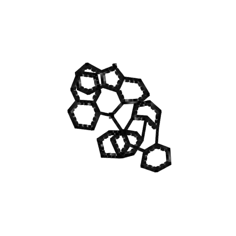 c1ccc2c(c1)-c1cccc3c1-c1cc(N(c4cccc5ccccc45)c4cccc5sc6ccccc6c45)ccc1-c1cccc-3c1-2